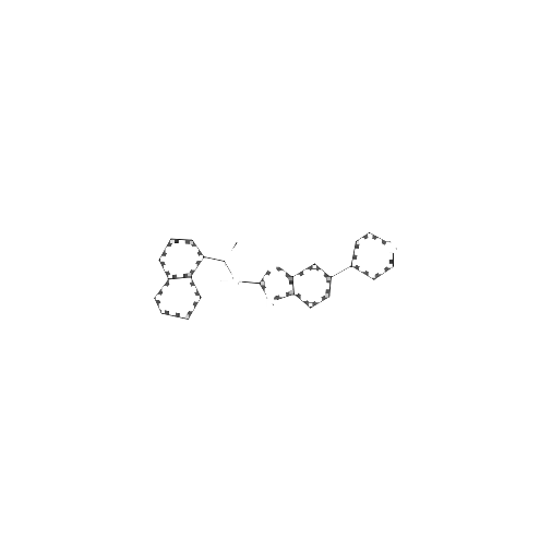 C[C@@H](Nc1nc2ccc(-c3ccncc3)cc2s1)c1cccc2ccccc12